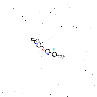 O=C(O)c1ccc(-c2ccc(OCC3CCN(CC4(C(F)(F)F)CCC4)CC3)cn2)c(F)c1